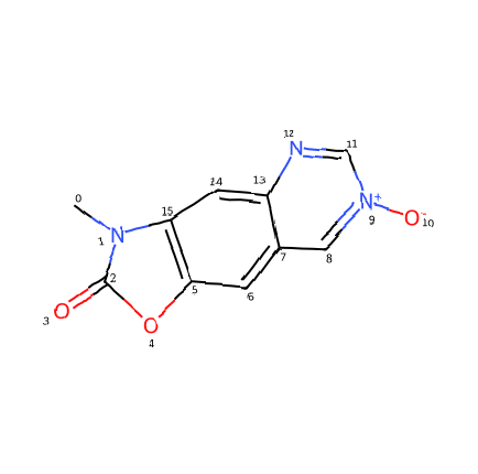 Cn1c(=O)oc2cc3c[n+]([O-])cnc3cc21